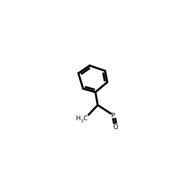 CC(P=O)c1ccccc1